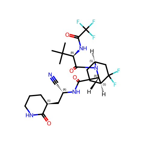 CC(C)(C)[C@@H](NC(=O)C(F)(F)F)C(=O)N1[C@H]2CC[C@@H]([C@@H]1C(=O)N[C@@H](C#N)C[C@@H]1CCCNC1=O)C(F)(F)C2